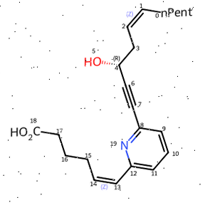 CCCCC/C=C\C[C@@H](O)C#Cc1cccc(/C=C\CCCC(=O)O)n1